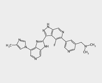 Cc1cn(-c2cncc3[nH]c(-c4n[nH]c5cnc(-c6cncc(CN(C)C)c6)c(F)c45)nc23)cn1